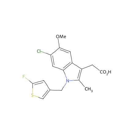 COc1cc2c(CC(=O)O)c(C)n(Cc3csc(F)c3)c2cc1Cl